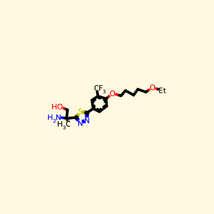 CCOCCCCCOc1ccc(-c2nnc([C@@](C)(N)CO)s2)cc1C(F)(F)F